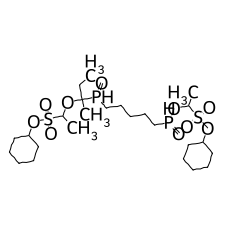 CCC(C)(OC(C)S(=O)(=O)OC1CCCCC1)[PH](=O)CCCCC[PH](=O)OC(C)S(=O)(=O)OC1CCCCC1